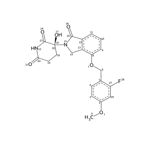 COc1ccc(COc2cccc3c2CN([C@]2(O)CCC(=O)NC2=O)C3=O)c(F)c1